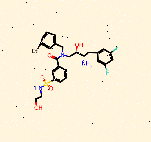 CCc1cccc(CN(C[C@@H](O)[C@@H](N)Cc2cc(F)cc(F)c2)C(=O)c2cccc(S(=O)(=O)NCCO)c2)c1